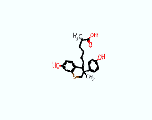 CC(CCCCC1c2ccc(O)cc2SCC1(C)c1ccc(O)cc1)C(=O)O